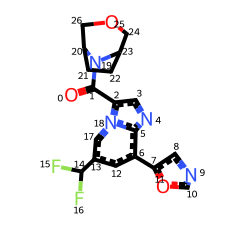 O=C(c1cnc2c(-c3cnco3)cc(C(F)F)cn12)N1C2CCC1COC2